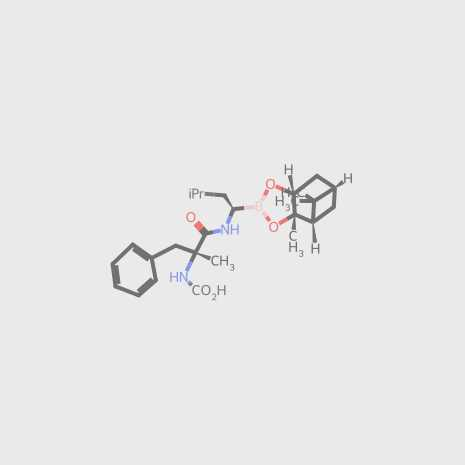 CC(C)C[C@H](NC(=O)[C@@](C)(Cc1ccccc1)NC(=O)O)B1O[C@@H]2C[C@@H]3C[C@@H](C3(C)C)[C@]2(C)O1